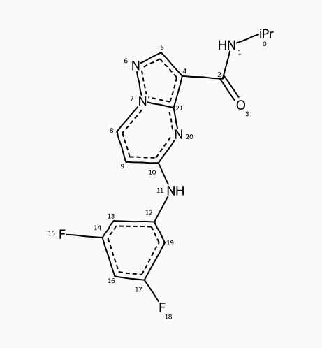 CC(C)NC(=O)c1cnn2ccc(Nc3cc(F)cc(F)c3)nc12